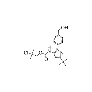 CC(C)(Cl)COC(=O)Nc1cc(C(C)(C)C)nn1-c1ccc(CO)cc1